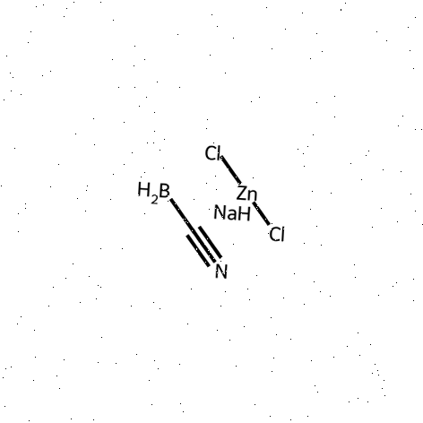 BC#N.[Cl][Zn][Cl].[NaH]